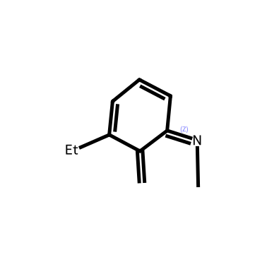 C=C1C(CC)=CC=C/C1=N/C